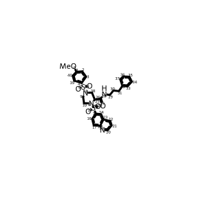 COc1ccc(S(=O)(=O)N2CCN(S(=O)(=O)c3ccc4ncccc4c3)C(C(=O)NCCCc3ccccc3)C2)cc1